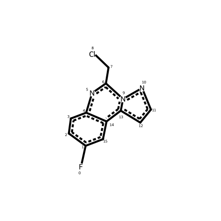 Fc1ccc2nc(CCl)n3nccc3c2c1